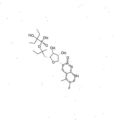 CCC(C)(C[C@H]1O[C@@H](c2cc3c(C)c(F)c[nH]c-3nc2=O)[C@@H](O)C1O)OP(=O)(O)C(O)(CC)CC